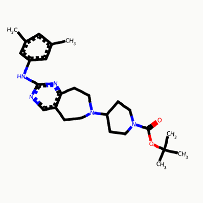 Cc1cc(C)cc(Nc2ncc3c(n2)CCN(C2CCN(C(=O)OC(C)(C)C)CC2)CC3)c1